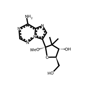 CO[C@@]1(c2cnc3c(N)ncnn23)O[C@H](CO)[C@@H](O)C1(C)C